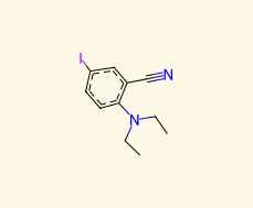 CCN(CC)c1ccc(I)cc1C#N